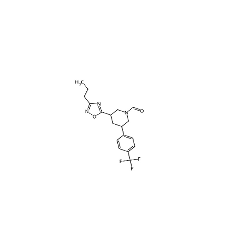 CCCc1noc(C2CC(c3ccc(C(F)(F)F)cc3)CN(C=O)C2)n1